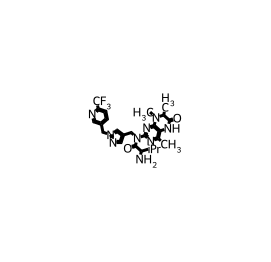 Cc1nc(N(Cc2cnn(Cc3ccc(C(F)(F)F)nc3)c2)C(=O)C(N)C(C)C)nc2c1NC(=O)C(C)N2C